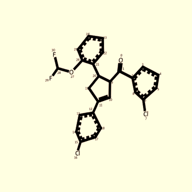 O=C(c1cccc(Cl)c1)C1C=C(c2ccc(Cl)cc2)CC1c1ccccc1OC(F)F